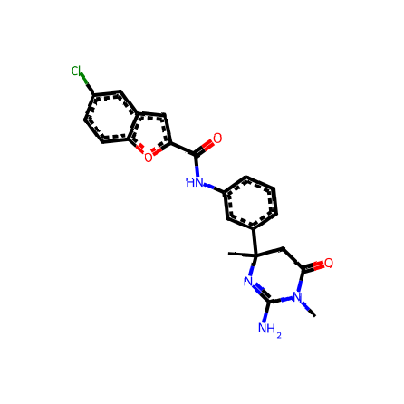 CN1C(=O)CC(C)(c2cccc(NC(=O)c3cc4cc(Cl)ccc4o3)c2)N=C1N